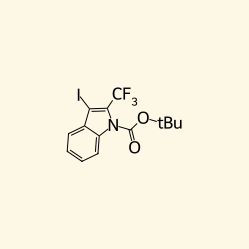 CC(C)(C)OC(=O)n1c(C(F)(F)F)c(I)c2ccccc21